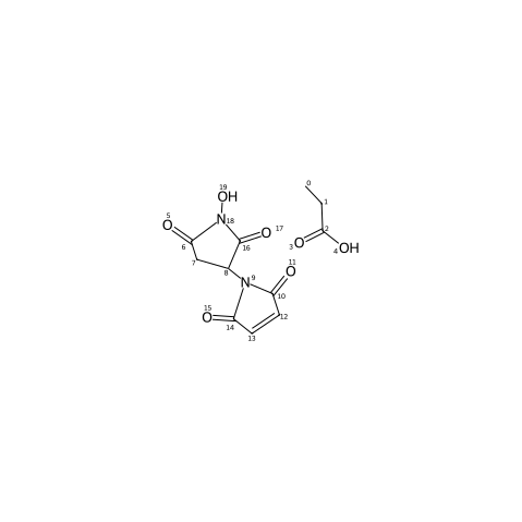 CCC(=O)O.O=C1CC(N2C(=O)C=CC2=O)C(=O)N1O